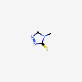 CN1[C]N=NC1=S